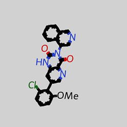 COc1cccc(Cl)c1-c1cnc2c(=O)n(-c3cncc4ccccc34)c(=O)[nH]c2c1